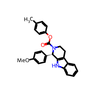 COc1ccc([C@H]2c3[nH]c4ccccc4c3CCN2C(=O)Oc2ccc(C)cc2)cc1